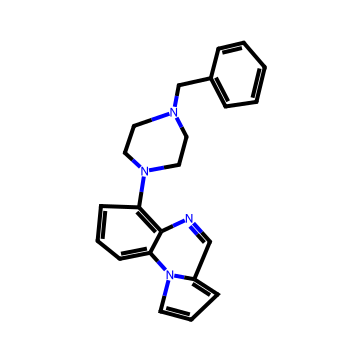 c1ccc(CN2CCN(c3cccc4c3ncc3cccn34)CC2)cc1